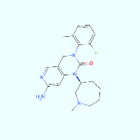 Cc1cccc(F)c1N1Cc2cnc(N)cc2N([C@H]2CCCCN(C)C2)C1=O